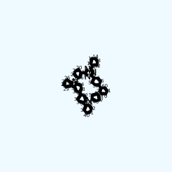 c1ccc(-c2ccc(-c3nc(-c4ccccc4)nc(-c4cccc(-n5c6ccccc6c6cc(-c7ccc8c9ccccc9n(-c9ccccc9)c8c7)ccc65)c4)n3)cc2)cc1